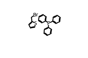 BrCc1cccs1.c1ccc(P(c2ccccc2)c2ccccc2)cc1